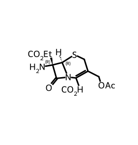 CCOC(=O)[C@]1(N)C(=O)N2C(C(=O)O)=C(COC(C)=O)CS[C@@H]21